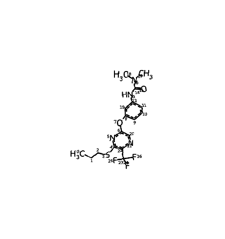 CCCSc1nc(Oc2cccc(NC(=O)N(C)C)c2)cnc1C(F)(F)F